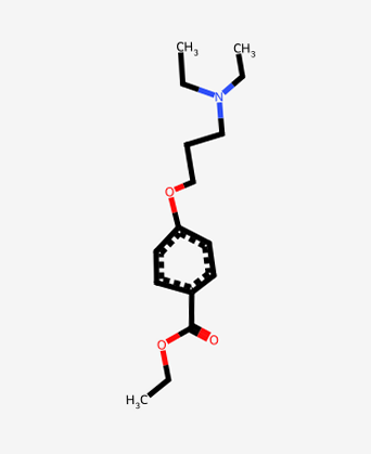 CCOC(=O)c1ccc(OCCCN(CC)CC)cc1